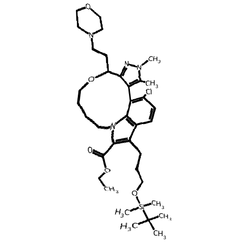 CCOC(=O)c1c(CCCO[Si](C)(C)C(C)(C)C)c2ccc(Cl)c3c2n1CCCCOC(CCN1CCOCC1)c1nn(C)c(C)c1-3